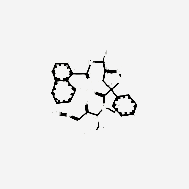 CC(C)[C@H](NC(=O)c1cccc2ccccc12)C1=NOC(C(=O)N(C)[C@@H](CC(=O)O)C(=O)C=[N+]=[N-])(c2ccccc2)C1